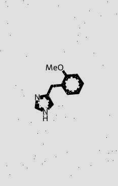 COc1ccccc1Cc1c[nH]cn1